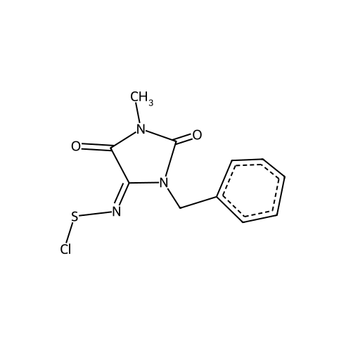 CN1C(=O)C(=NSCl)N(Cc2ccccc2)C1=O